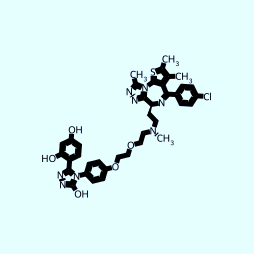 Cc1sc2c(c1C)C(c1ccc(Cl)cc1)=N[C@@H](CCN(C)CCOCCOc1ccc(-n3c(O)nnc3-c3ccc(O)cc3O)cc1)c1nnc(C)n1-2